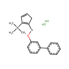 C[Si](C)(C)C1=[C]([Ti][O]c2cccc(-c3ccccc3)c2)CC=C1.Cl.Cl